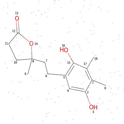 Cc1c(O)cc(CCC2(C)CCC(=O)O2)c(O)c1C